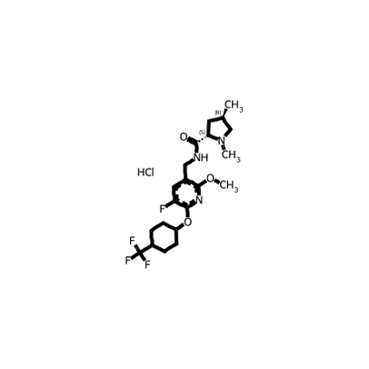 COc1nc(OC2CCC(C(F)(F)F)CC2)c(F)cc1CNC(=O)[C@@H]1C[C@@H](C)CN1C.Cl